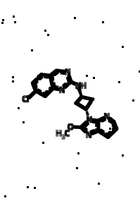 COc1nc2cccnc2n1[C@H]1C[C@H](Nc2ncc3ccc(Cl)cc3n2)C1